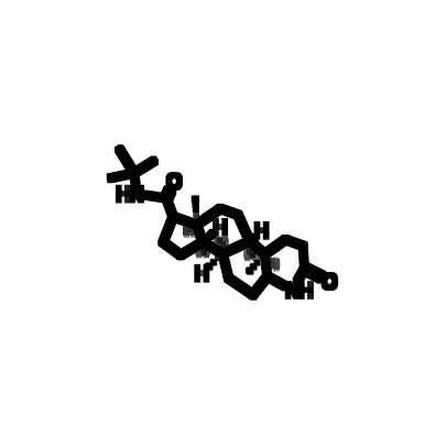 CC(C)(C)NC(=O)C1CC[C@H]2[C@@H]3CCC4NC(=O)CC[C@]4(C)[C@H]3CC[C@]12C